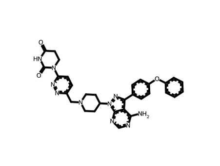 Nc1ncnc2c1c(-c1ccc(Oc3ccccc3)cc1)nn2C1CCN(Cc2ccc(N3CCC(=O)NC3=O)nn2)CC1